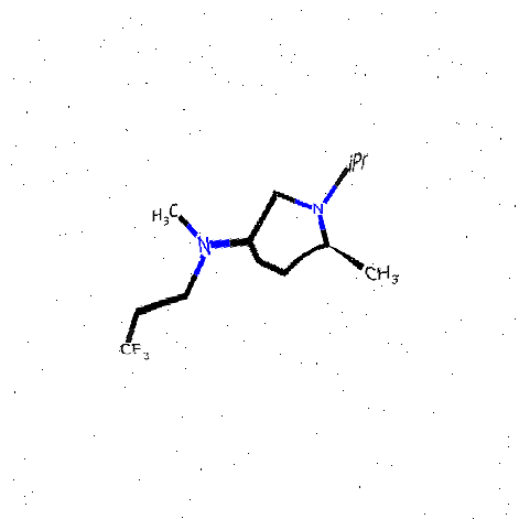 CC(C)N1CC(N(C)CCC(F)(F)F)C[C@@H]1C